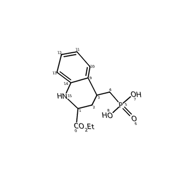 CCOC(=O)C1CC(CP(=O)(O)O)c2ccccc2N1